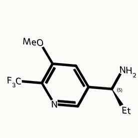 CC[C@H](N)c1cnc(C(F)(F)F)c(OC)c1